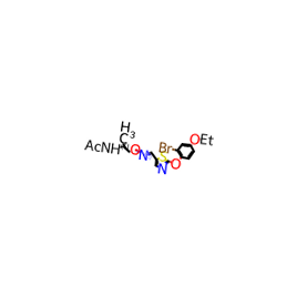 CCOc1ccc(Oc2ncc(/C=N/OC[C@H](C)NC(C)=O)s2)c(Br)c1